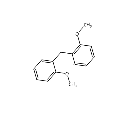 COc1ccc[c]c1Cc1ccccc1OC